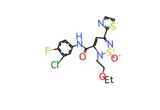 CCOCCN1C(C(=O)Nc2ccc(F)c(Cl)c2)=CC(c2nccs2)=N[S+]1[O-]